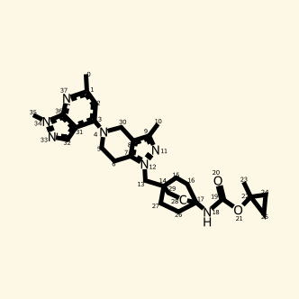 Cc1cc(N2CCc3c(c(C)nn3CC34CCC(NC(=O)OC5(C)CC5)(CC3)CC4)C2)c2cnn(C)c2n1